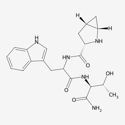 C[C@@H](O)[C@H](NC(=O)C(Cc1c[nH]c2ccccc12)NC(=O)[C@@H]1C[C@@H]2C[C@@H]2N1)C(N)=O